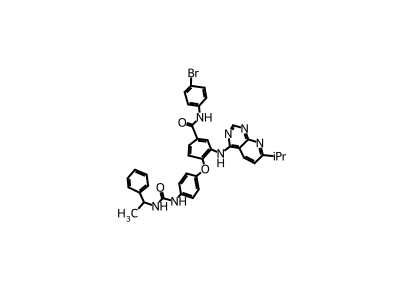 CC(C)c1ccc2c(Nc3cc(C(=O)Nc4ccc(Br)cc4)ccc3Oc3ccc(NC(=O)NC(C)c4ccccc4)cc3)ncnc2n1